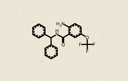 Nc1ccc(OC(F)(F)F)cc1C(=O)NC(c1ccccc1)c1ccccc1